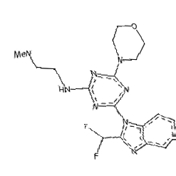 CNCCNc1nc(N2CCOCC2)nc(-n2c(C(F)F)nc3ccccc32)n1